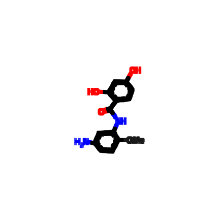 COc1ccc(N)cc1NC(=O)c1ccc(O)cc1O